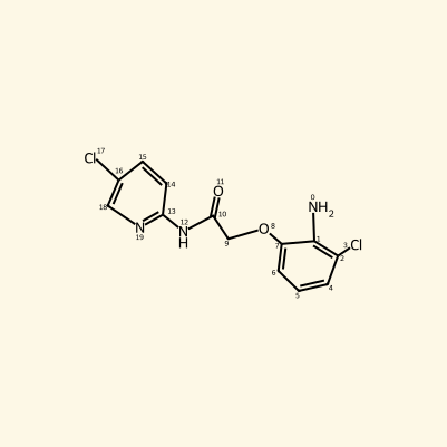 Nc1c(Cl)cccc1OCC(=O)Nc1ccc(Cl)cn1